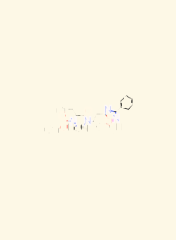 CC(C)CC(C(=O)N(C)C(Cc1nc(-c2ccccc2)no1)C(=O)O)N(C)C(=O)OC(C)(C)C